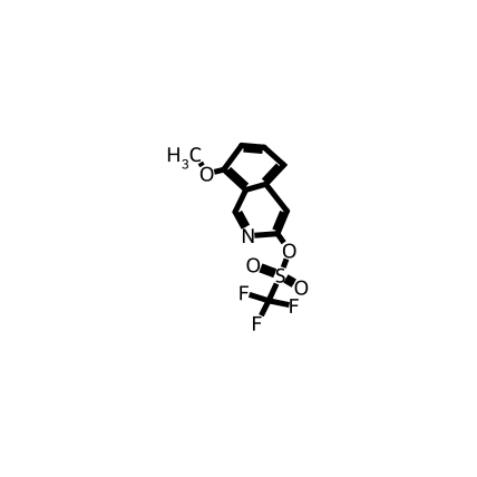 COc1cccc2cc(OS(=O)(=O)C(F)(F)F)ncc12